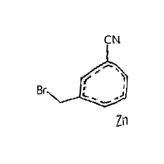 N#Cc1cccc(CBr)c1.[Zn]